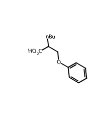 CCCCC(COc1ccccc1)C(=O)O